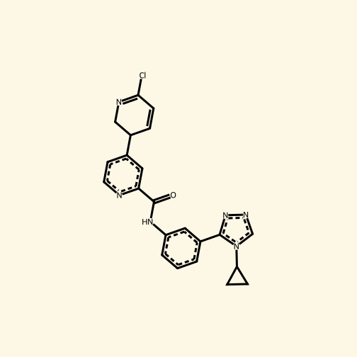 O=C(Nc1cccc(-c2nncn2C2CC2)c1)c1cc(C2C=CC(Cl)=NC2)ccn1